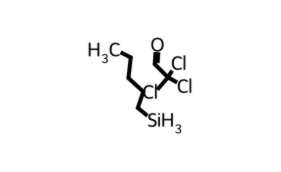 CCCCC[SiH3].O=CC(Cl)(Cl)Cl